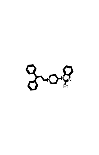 CCc1nc2ccccc2n1C1CCN(CCC(c2ccccc2)c2ccccc2)CC1